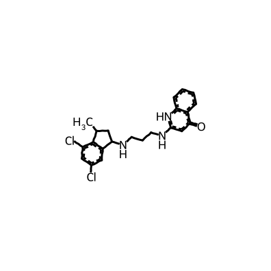 CC1CC(NCCCNc2cc(=O)c3ccccc3[nH]2)c2cc(Cl)cc(Cl)c21